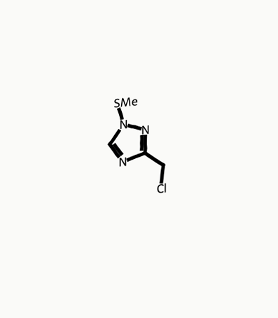 CSn1cnc(CCl)n1